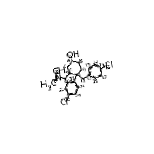 CN(C)CC1CC(O)CCC1(Cc1ccc(Cl)cc1)c1ccc(Cl)cc1